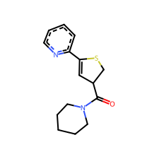 O=C(C1C=C(c2ccccn2)SC1)N1CCCCC1